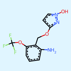 Nc1cccc(OC(F)(F)F)c1COc1ccn(O)n1